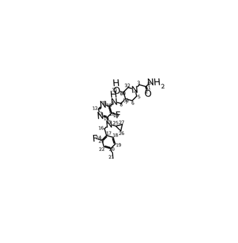 NC(=O)CN1CC[C@@H](CNc2ncnc(N(Cc3ccc(I)cc3F)C3CC3)c2F)[C@H](O)C1